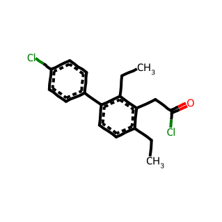 CCc1ccc(-c2ccc(Cl)cc2)c(CC)c1CC(=O)Cl